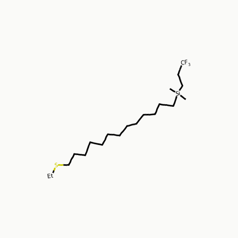 CCSCCCCCCCCCCCCC[Si](C)(C)CCC(F)(F)F